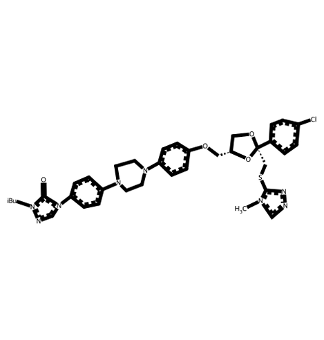 CCC(C)n1ncn(-c2ccc(N3CCN(c4ccc(OC[C@@H]5CO[C@@](CSc6nncn6C)(c6ccc(Cl)cc6)O5)cc4)CC3)cc2)c1=O